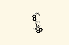 Nc1ccc2ccc(NCCCN3C(=O)c4cccc5cccc(c45)C3=O)cc2c1